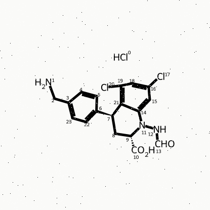 Cl.NCc1ccc([C@@H]2C[C@@H](C(=O)O)N(NC=O)c3cc(Cl)cc(Cl)c32)cc1